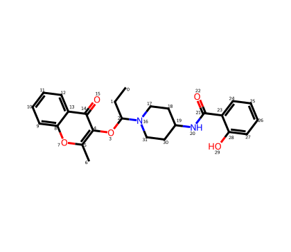 CCC(Oc1c(C)oc2ccccc2c1=O)N1CCC(NC(=O)c2ccccc2O)CC1